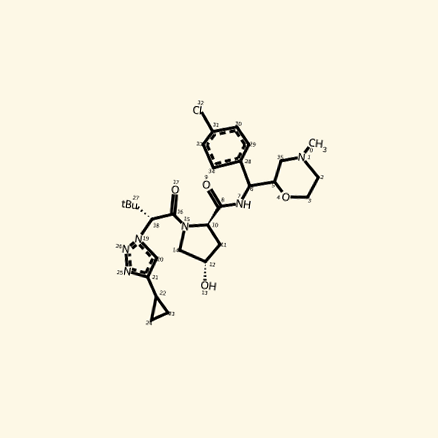 CN1CCOC(C(NC(=O)[C@H]2C[C@H](O)CN2C(=O)[C@H](n2cc(C3CC3)nn2)C(C)(C)C)c2ccc(Cl)cc2)C1